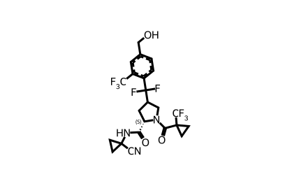 N#CC1(NC(=O)[C@@H]2CC(C(F)(F)c3ccc(CO)cc3C(F)(F)F)CN2C(=O)C2(C(F)(F)F)CC2)CC1